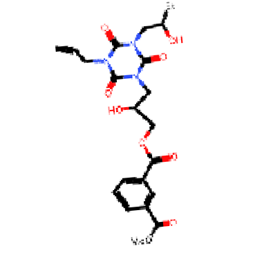 C=CCn1c(=O)n(CC(O)CC)c(=O)n(CC(O)COC(=O)c2cccc(C(=O)OC)c2)c1=O